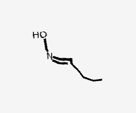 CCC=NO